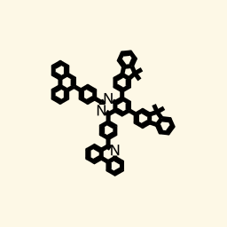 CC1(C)c2ccccc2-c2ccc(-c3cc(-c4ccc5c(c4)C(C)(C)c4ccccc4-5)c4nc(-c5ccc(-c6cc7ccccc7c7ccccc67)cc5)nc(-c5ccc(-c6nc7ccccc7c7ccccc67)cc5)c4c3)cc21